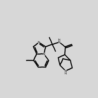 C=C(NC(C)(C)c1ncc2c(C)cccn12)C1CC2CC1CN2